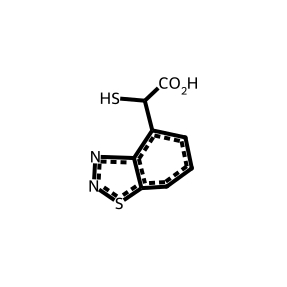 O=C(O)C(S)c1cccc2snnc12